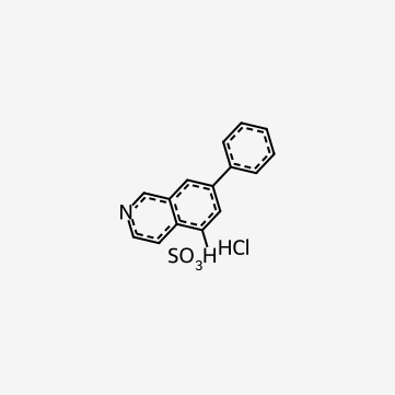 Cl.O=S(=O)(O)c1cc(-c2ccccc2)cc2cnccc12